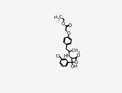 CCOC(=O)COc1ccc(CC(C)NC2C(=O)OC2(O)c2cccc(Cl)c2)cc1